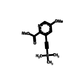 COC(=O)c1ncc(OC)cc1C#C[Si](C)(C)C